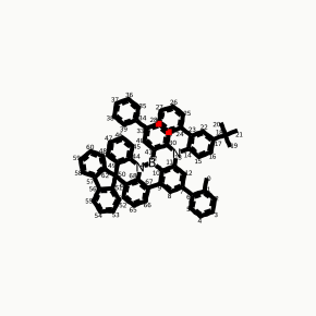 Cc1ccccc1-c1cc2c3c(c1)N(c1ccc(C(C)(C)C)cc1-c1ccccc1)c1ccc(-c4ccccc4)cc1B3N1c3ccccc3C3(c4ccccc4-c4ccccc43)c3cccc-2c31